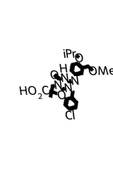 COCc1cc(/N=c2\[nH]c(=O)n(CC(C)(C)C(=O)O)c(=O)n2Cc2ccc(Cl)cc2)ccc1OC(C)C